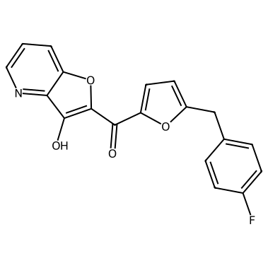 O=C(c1ccc(Cc2ccc(F)cc2)o1)c1oc2cccnc2c1O